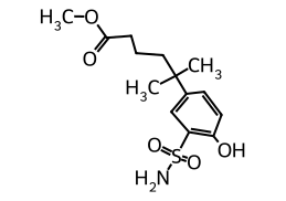 COC(=O)CCCC(C)(C)c1ccc(O)c(S(N)(=O)=O)c1